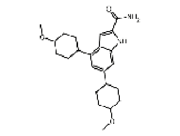 COC1CCC(c2cc(C3CCC(OC)CC3)c3cc(C(N)=O)[nH]c3c2)CC1